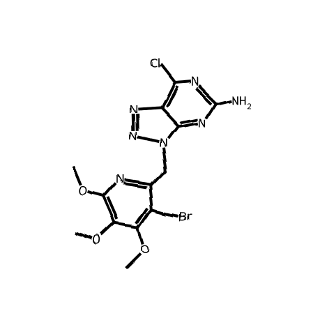 COc1nc(Cn2nnc3c(Cl)nc(N)nc32)c(Br)c(OC)c1OC